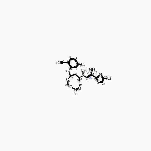 N#Cc1ccc(Cl)cc1SC1C[C@@H](N(N)/C=C(\N)c2nc(Cl)cs2)CONCCO1